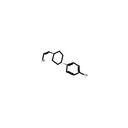 CCC/C=C\[C@H]1CC[C@H](c2ccc(C#N)cc2)CC1